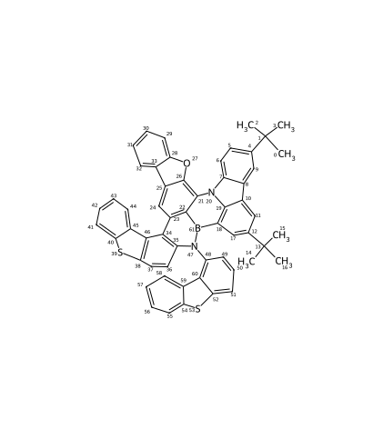 CC(C)(C)c1ccc2c(c1)c1cc(C(C)(C)C)cc3c1n2-c1c2c(cc4c1oc1ccccc14)-c1c(ccc4sc5ccccc5c14)N(c1cccc4sc5ccccc5c14)B23